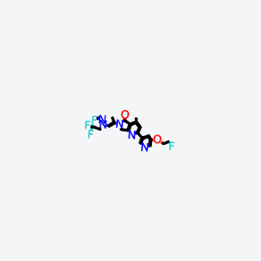 C=NN(/C=C(\C)N1Cc2nc(-c3cncc(OCCF)c3)cc(C)c2C1=O)CC(F)(F)F